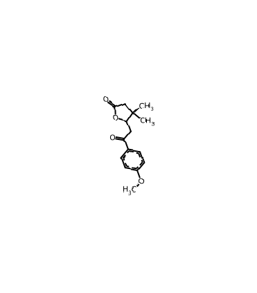 COc1ccc(C(=O)CC2OC(=O)CC2(C)C)cc1